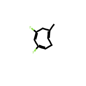 C/C1=C\C/C=C(F)\C=C(\F)C1